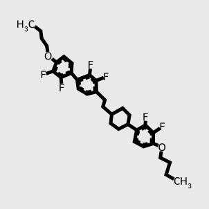 CCCCOc1ccc(-c2ccc(CCC3CCC(c4ccc(OCCCC)c(F)c4F)CC3)c(F)c2F)c(F)c1F